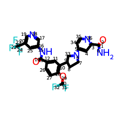 NC(=O)c1cc(N2CCC(c3cc(C(=O)Nc4cncc(C(F)(F)F)c4)ccc3OC(F)F)C2)ccn1